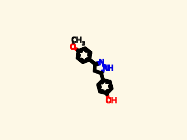 COc1ccc(C2=NNC(c3ccc(O)cc3)C2)cc1